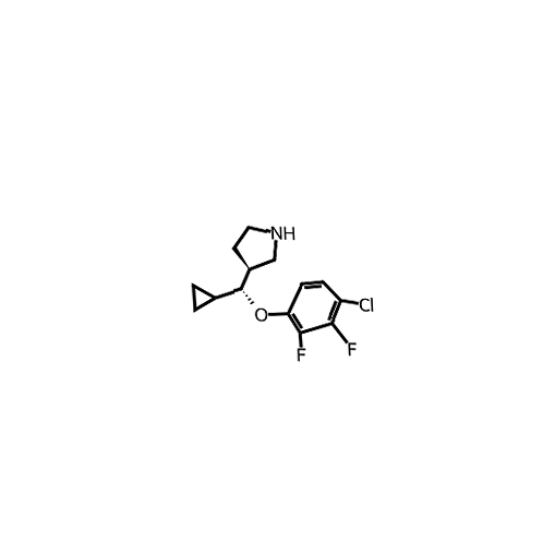 Fc1c(Cl)ccc(O[C@H](C2CC2)[C@H]2CCNC2)c1F